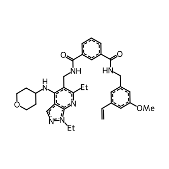 C=Cc1cc(CNC(=O)c2cccc(C(=O)NCc3c(CC)nc4c(cnn4CC)c3NC3CCOCC3)c2)cc(OC)c1